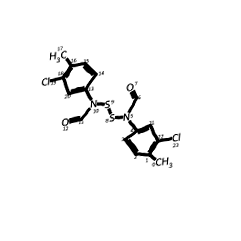 Cc1ccc(N(C=O)SSN(C=O)c2ccc(C)c(Cl)c2)cc1Cl